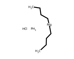 CCC[CH2][Mg][CH2]CCC.Cl.P